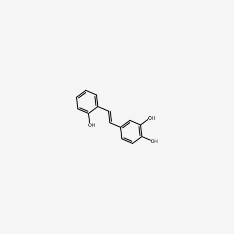 Oc1ccc(C=Cc2ccccc2O)cc1O